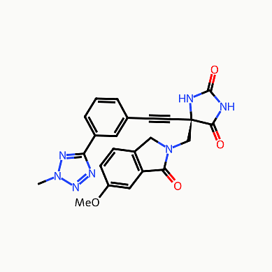 COc1ccc2c(c1)C(=O)N(C[C@@]1(C#Cc3cccc(-c4nnn(C)n4)c3)NC(=O)NC1=O)C2